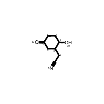 N#CCC1CC(=O)CCC1O